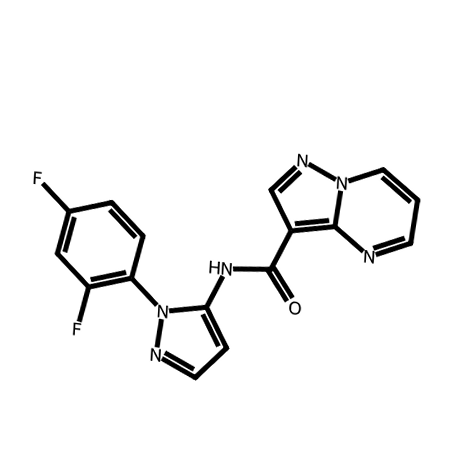 O=C(Nc1ccnn1-c1ccc(F)cc1F)c1cnn2cccnc12